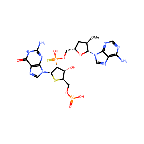 CO[C@@H]1C[C@@H](COP(O)(=S)[C@@H]2[C@H](O)[C@@H](CO[PH](=O)O)S[C@H]2n2cnc3c(=O)[nH]c(N)nc32)O[C@H]1n1cnc2c(N)ncnc21